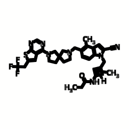 CCC(=O)NC12CC(Cn3c(C#N)cc4c(C)c(CN5CCC6(CCN(c7ncnc8sc(CC(F)(F)F)cc78)C6)C5)ccc43)(C1)[C@@H]2C